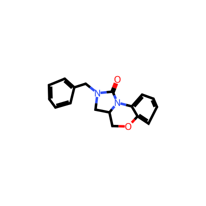 O=C1N(Cc2ccccc2)CC2COc3ccccc3N12